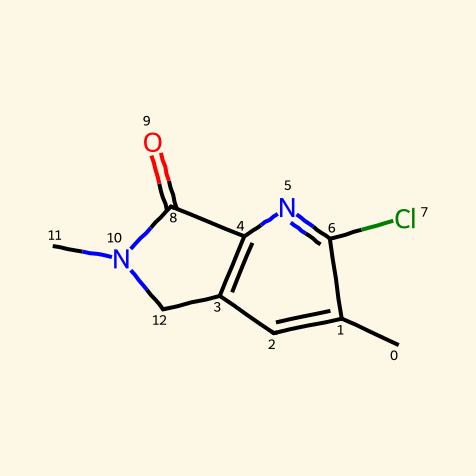 Cc1cc2c(nc1Cl)C(=O)N(C)C2